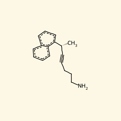 C[C@H](C#CCCCN)c1cccc2ccccc12